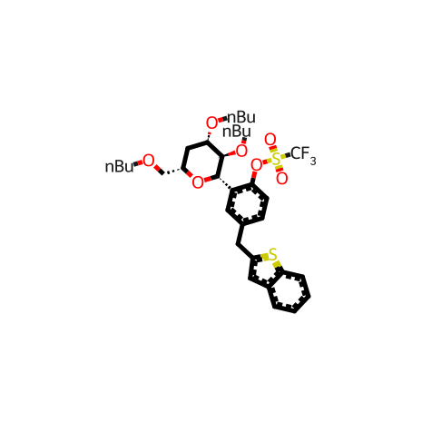 CCCCOC[C@@H]1C[C@H](OCCCC)[C@@H](OCCCC)[C@H](c2cc(Cc3cc4ccccc4s3)ccc2OS(=O)(=O)C(F)(F)F)O1